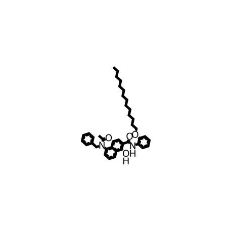 CCCCCCCCCCCCCCOc1ccccc1NC(=O)c1ccc2c(N(Cc3ccccc3)C(C)=O)cccc2c1O